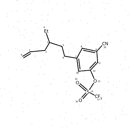 C=CCC(CC)CCc1cc(C#N)cc(OS(=O)(=O)C(F)(F)F)c1